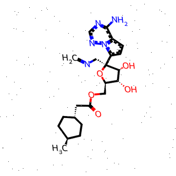 C=NC[C@@]1(c2ccc3c(N)ncnn23)O[C@H](COC(=O)C[C@H]2CC[C@H](C)CC2)[C@@H](O)[C@H]1O